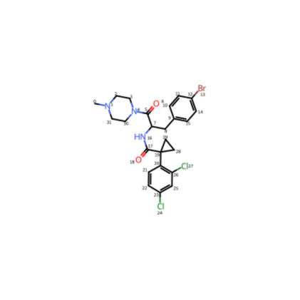 CN1CCN(C(=O)C(Cc2ccc(Br)cc2)NC(=O)C2(c3ccc(Cl)cc3Cl)CC2)CC1